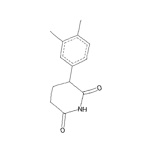 Cc1ccc(C2CCC(=O)NC2=O)cc1C